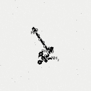 CC(C)(C)OC(=O)NCCOCCOCCOCCOCCC(=O)NC(CSCC(=O)N(CCCN)C(c1cc(-c2cc(F)ccc2F)cn1Cc1ccccc1)C(C)(C)C)C(=O)OC(C)(C)C